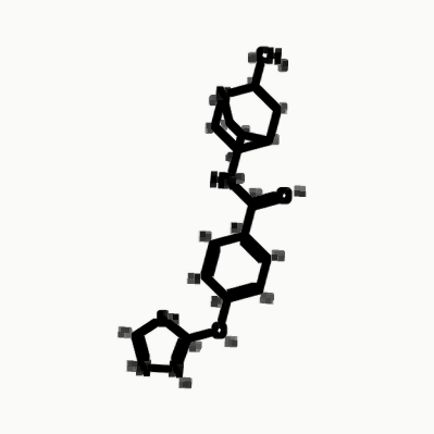 CC1CC2CCN1CC2NC(=O)c1ccc(Oc2nncs2)cc1